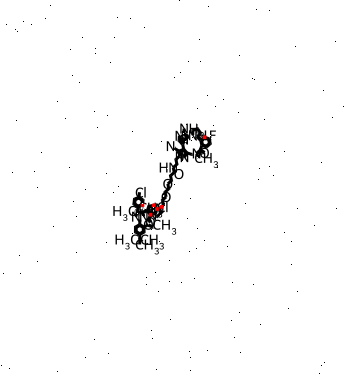 CCOc1cc(C(C)(C)C)ccc1C1=N[C@@](C)(c2ccc(Cl)cc2)[C@@](C)(c2ccc(Cl)cc2)N1C(=O)N1CCN(CCOCCOCCC(=O)NCCn2nc3c(c2C#N)-c2cnc(N)c(n2)N2CCC[C@@H]2c2cc(F)ccc2C(=O)N(C)C3)CC1